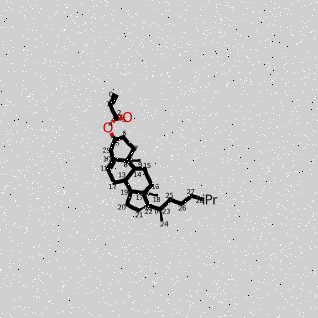 C=CC(=O)OC1CC[C@@]2(C)C(=CCC3C2CC[C@@]2(C)C3CC[C@@H]2[C@H](C)CCCC(C)C)C1